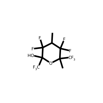 CC1C(F)(F)C(C)(C(F)(F)F)OC(O)(C(F)(F)F)C1(F)F